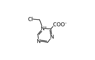 O=C([O-])c1ncnc[n+]1CCl